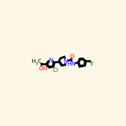 CC(O)c1cnc(C2=CCN(C(=O)Nc3ccc(CF)cc3)CC2)c(Cl)c1